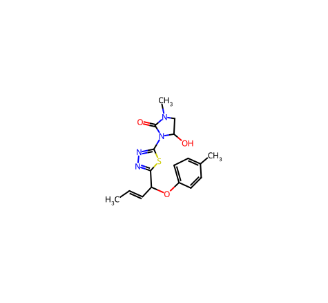 C/C=C/C(Oc1ccc(C)cc1)c1nnc(N2C(=O)N(C)CC2O)s1